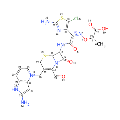 C[C@H](O/N=C(\C(=O)NC1C(=O)N2C(C=O)=C(C[n+]3cccc4[nH]c(N)cc43)CSC12)c1nc(N)sc1Cl)C(=O)O